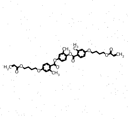 C=CC(=O)OCCCCOc1ccc(C(=O)Oc2ccc(OC(=O)c3ccc(OCCCCOC(=O)C=C)cc3C)c(C)c2)c(C)c1